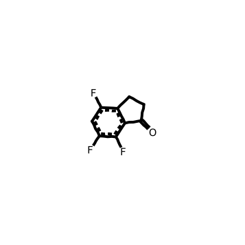 O=C1CCc2c(F)cc(F)c(F)c21